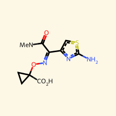 CNC(=O)/C(=N\OC1(C(=O)O)CC1)c1csc(N)n1